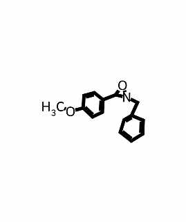 COc1ccc(C2ON2Cc2ccccc2)cc1